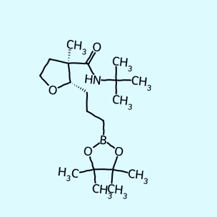 CC(C)(C)NC(=O)[C@]1(C)CCO[C@H]1CCCB1OC(C)(C)C(C)(C)O1